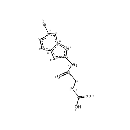 O=C(O)NCC(=O)Nc1nc2cc(Br)ccc2s1